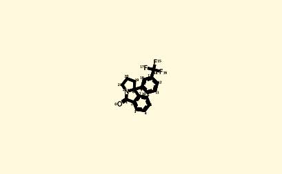 O=C1c2ccccc2C2(c3cccc(C(F)(F)F)c3)CCCN12